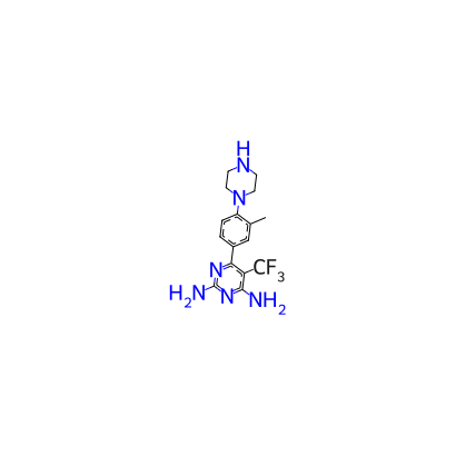 Cc1cc(-c2nc(N)nc(N)c2C(F)(F)F)ccc1N1CCNCC1